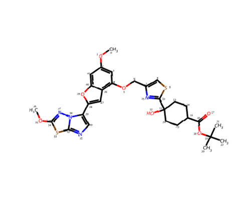 COc1cc(OCc2csc(C3(O)CCC(C(=O)OC(C)(C)C)CC3)n2)c2cc(-c3cnc4sc(OC)nn34)oc2c1